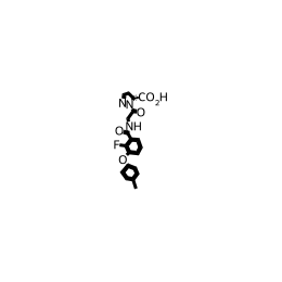 Cc1ccc(Oc2cccc(C(=O)NCC(=O)N3N=CC[C@H]3C(=O)O)c2F)cc1